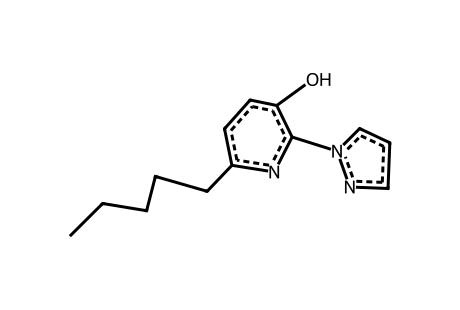 CCCCCc1ccc(O)c(-n2cccn2)n1